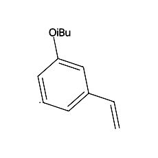 C=Cc1c[c]cc(OCC(C)C)c1